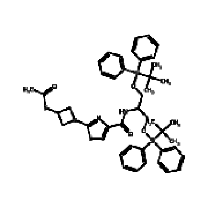 CC(=O)SC1CN(c2nc(C(=O)NC(CO[Si](c3ccccc3)(c3ccccc3)C(C)(C)C)CO[Si](c3ccccc3)(c3ccccc3)C(C)(C)C)cs2)C1